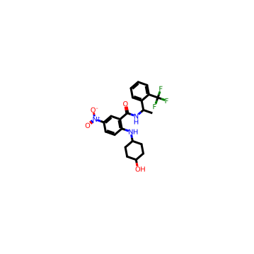 CC(NC(=O)c1cc([N+](=O)[O-])ccc1NC1CCC(O)CC1)c1ccccc1C(F)(F)F